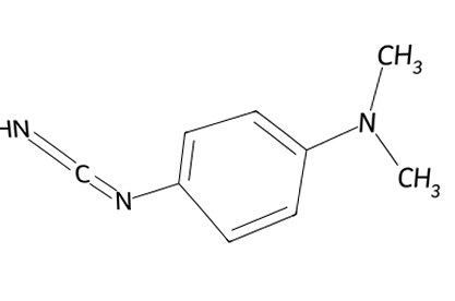 CN(C)c1ccc(N=C=N)cc1